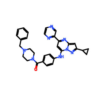 O=C(c1ccc(Nc2cc(-c3cnccn3)nc3cc(C4CC4)nn23)cc1)N1CCN(Cc2ccccc2)CC1